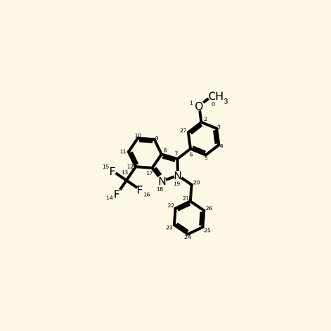 COc1cccc(-c2c3cccc(C(F)(F)F)c3nn2Cc2ccccc2)c1